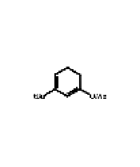 COC1=CC(C(C)(C)C)=CCC1